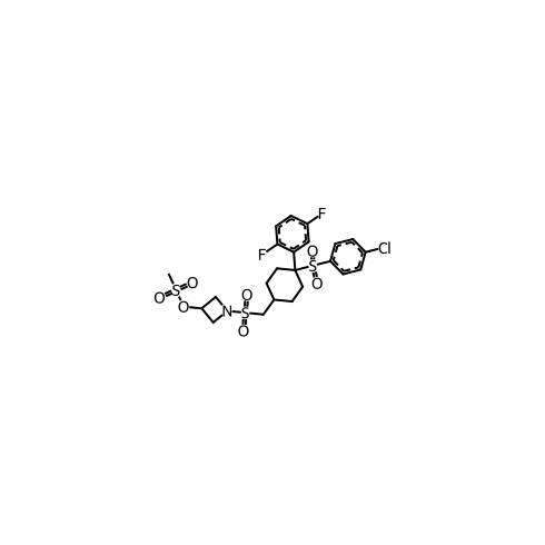 CS(=O)(=O)OC1CN(S(=O)(=O)CC2CCC(c3cc(F)ccc3F)(S(=O)(=O)c3ccc(Cl)cc3)CC2)C1